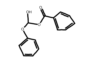 O=C(OC(O)Oc1ccccc1)c1ccccc1